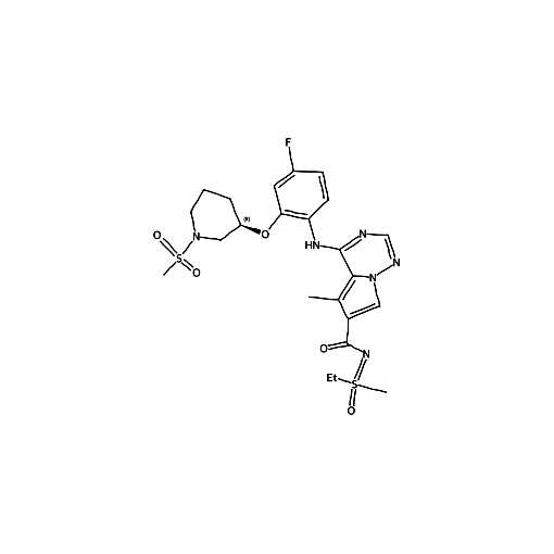 CCS(C)(=O)=NC(=O)c1cn2ncnc(Nc3ccc(F)cc3O[C@@H]3CCCN(S(C)(=O)=O)C3)c2c1C